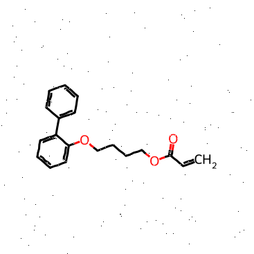 C=CC(=O)OCCCCOc1ccccc1-c1ccccc1